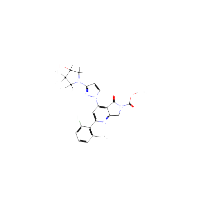 [2H]C1([2H])N(c2ccn(-c3cc(-c4c(F)cccc4C#N)nc4c3C(=O)N(C(=O)OC(C)(C)C)C4)n2)C([2H])([2H])C([2H])(O)C1([2H])[2H]